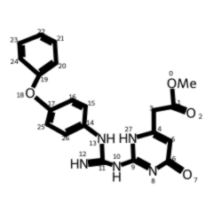 COC(=O)Cc1cc(=O)nc(NC(=N)Nc2ccc(Oc3ccccc3)cc2)[nH]1